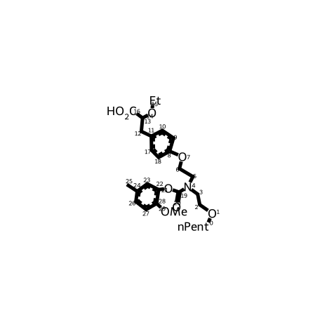 CCCCCOCCN(CCOc1ccc(CC(OCC)C(=O)O)cc1)C(=O)Oc1cc(C)ccc1OC